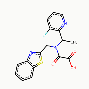 CC(c1ncccc1F)N(Cc1nc2ccccc2s1)C(=O)C(=O)O